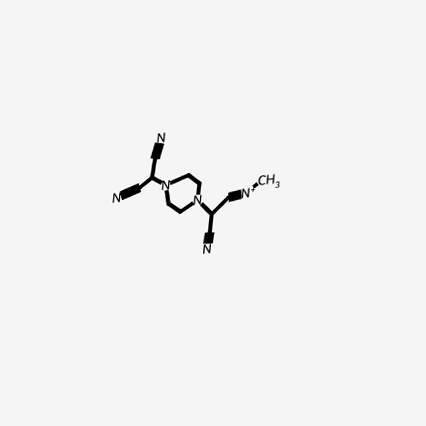 C[N+]#CC(C#N)N1CCN(C(C#N)C#N)CC1